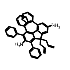 C=CCC1(CC=C)c2cc(N)cc(-c3ccccc3)c2-c2c(-c3ccccc3)c(-c3ccccc3)c(N)c(-c3ccccc3)c21